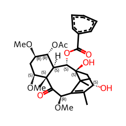 CO[C@H]1C(=O)[C@@]2(C)[C@@H]([C@@H](OC(C)=O)[C@H](OC)C[C@@H]2OC)[C@H](OC(=O)c2ccccc2)[C@]2(O)C[C@H](O)C(C)=C1C2(C)C